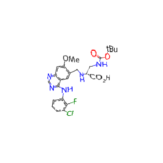 COc1cc2ncnc(Nc3cccc(Cl)c3F)c2cc1CN[C@@H](CNC(=O)OC(C)(C)C)C(=O)O